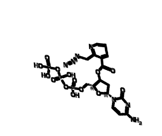 [N-]=[N+]=NCc1ncccc1C(=O)OC1C[C@H](n2ccc(N)nc2=O)O[C@@H]1COP(=O)(O)OP(=O)(O)OP(=O)(O)O